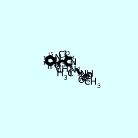 CN(CCNS(C)(=O)=O)c1cc(-c2nc3ccccc3n2C)c(Cl)cn1